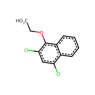 O=C(O)COc1c(Cl)cc(Cl)c2ccccc12